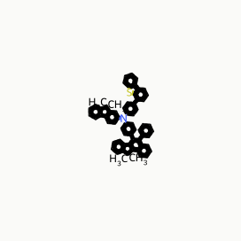 CC1(C)c2ccccc2-c2ccc(N(c3ccc(-c4c5c(c6ccccc6c4-c4ccccc4)C(C)(C)c4ccccc4-5)cc3)c3ccc(-c4cccc5c4sc4ccccc45)cc3)cc21